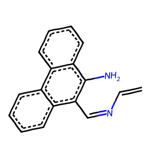 C=C/N=C\c1c(N)c2ccccc2c2ccccc12